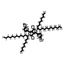 CCCCCCCCCCCC(CCCCCCCC)N1C(=O)C2=C(c3ccc(Br)s3)N(C(CCCCCCCC)CCCCCCCCCCC)C(=O)C2=C1c1ccc(Br)s1